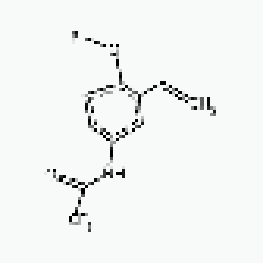 C=Cc1cc(NC(=O)C(F)(F)F)ccc1OC(C)C